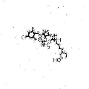 CCN(CCO)CCCCNC(=O)Nc1snc(OCc2c(F)cc(Cl)cc2F)c1OC(N)=O